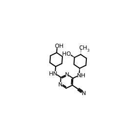 C[C@@H]1CC[C@@H](Nc2nc(NC3CCC(O)CC3)ncc2C#N)C[C@H]1O